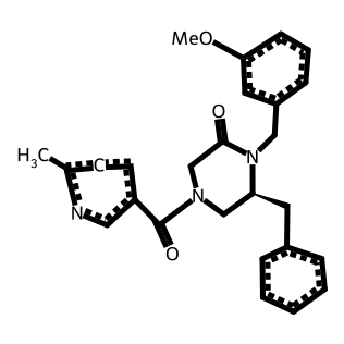 COc1cccc(CN2C(=O)CN(C(=O)c3ccc(C)nc3)C[C@@H]2Cc2ccccc2)c1